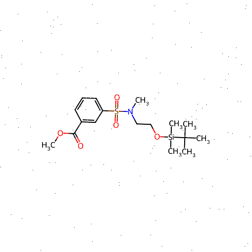 COC(=O)c1cccc(S(=O)(=O)N(C)CCO[Si](C)(C)C(C)(C)C)c1